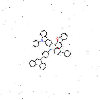 c1ccc(-c2ccc(N(c3ccc(-c4cc5ccccc5c5ccccc45)cc3)c3cc4c(cc3-c3cccc5c3oc3ccccc35)c3ccccc3n4-c3ccccc3)cc2)cc1